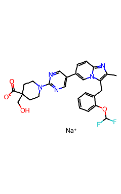 Cc1nc2ccc(-c3cnc(N4CCC(CO)(C(=O)[O-])CC4)nc3)cn2c1Cc1ccccc1OC(F)F.[Na+]